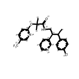 CC(c1ccc(Cl)cc1)C(CNC(=O)C(C)(C)Oc1ccc(C(F)(F)F)cn1)c1cccnc1